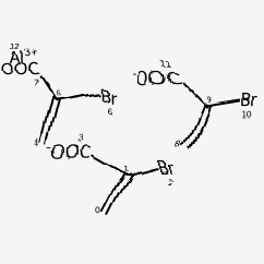 C=C(Br)C(=O)[O-].C=C(Br)C(=O)[O-].C=C(Br)C(=O)[O-].[Al+3]